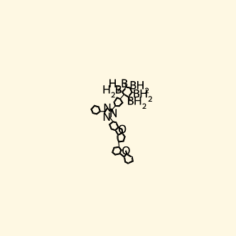 Bc1c(B)c(B)c(-c2ccc(-c3nc(-c4ccccc4)nc(-c4ccc5c(c4)oc4ccc(-c6cccc7c6oc6ccccc67)cc45)n3)cc2)c(B)c1B